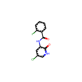 O=C(Nc1cc(Cl)c[nH]c1=O)c1ccccc1F